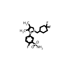 CC1=C(C)N(c2ccc(F)c(S(N)(=O)=O)c2)N(CC2CCC(F)(F)CC2)C1